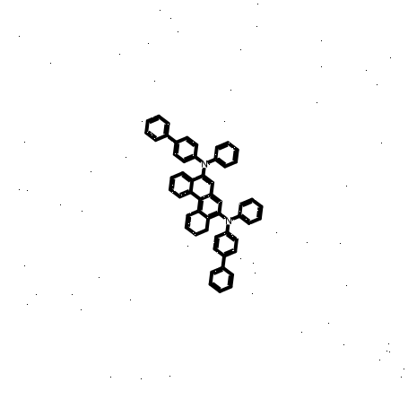 C1=Cc2c(c(N(c3ccccc3)c3ccc(-c4ccccc4)cc3)cc3cc(N(c4ccccc4)c4ccc(-c5ccccc5)cc4)c4ccccc4c23)CC1